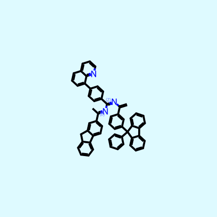 C=C(/N=C(\N=C(/C)c1ccc2c(c1)Cc1ccccc1-2)c1ccc(-c2cccc3cccnc23)cc1)c1cccc(C2(c3ccccc3)c3ccccc3-c3ccccc32)c1